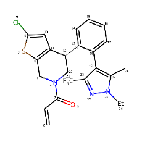 C=CC(=O)N1Cc2sc(Cl)cc2[C@H](c2ccccc2-c2c(C(F)(F)F)nn(CC)c2C)C1